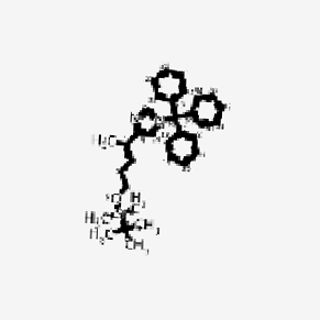 CC(=CCCO[Si](C)(C)C(C)(C)C)c1cn(C(c2ccccc2)(c2ccccc2)c2ccccc2)cn1